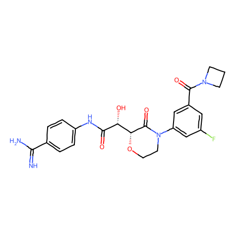 N=C(N)c1ccc(NC(=O)[C@H](O)[C@H]2OCCN(c3cc(F)cc(C(=O)N4CCC4)c3)C2=O)cc1